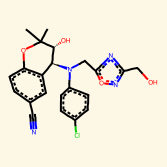 CC1(C)Oc2ccc(C#N)cc2[C@H](N(Cc2nc(CO)no2)c2ccc(Cl)cc2)[C@H]1O